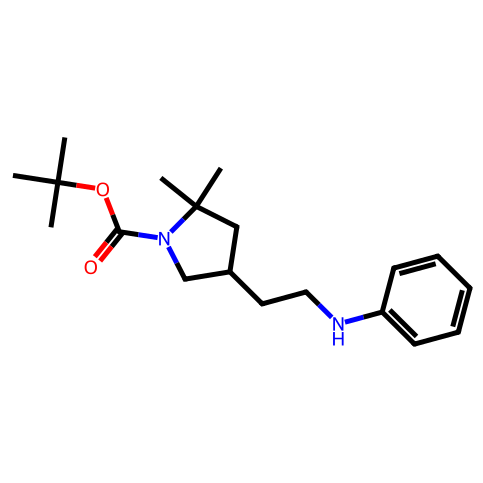 CC(C)(C)OC(=O)N1CC(CCNc2ccccc2)CC1(C)C